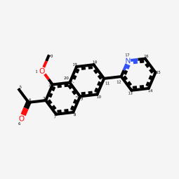 COc1c(C(C)=O)ccc2cc(-c3ccccn3)ccc12